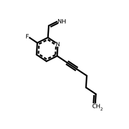 C=CCCC#Cc1ccc(F)c(C=N)n1